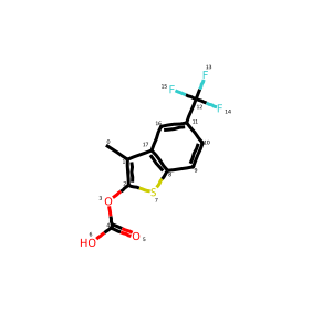 Cc1c(OC(=O)O)sc2ccc(C(F)(F)F)cc12